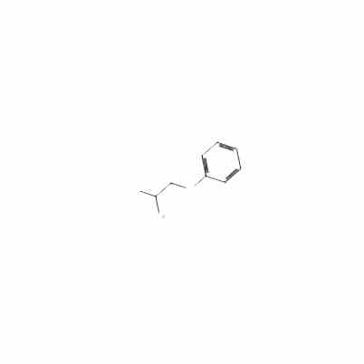 OC(COc1ccccc1)C(Cl)(Cl)Cl